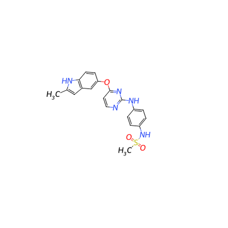 Cc1cc2cc(Oc3ccnc(Nc4ccc(NS(C)(=O)=O)cc4)n3)ccc2[nH]1